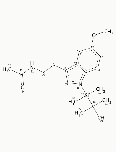 COc1ccc2c(c1)c(CCNC(C)=O)cn2[Si](C)(C)C(C)(C)C